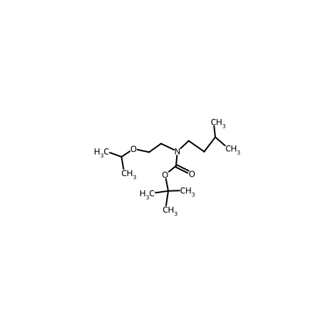 CC(C)CCN(CCOC(C)C)C(=O)OC(C)(C)C